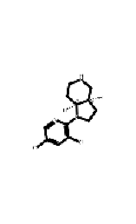 Clc1cnc(N2CC[C@@H]3CNCC[C@@H]32)c(Cl)c1